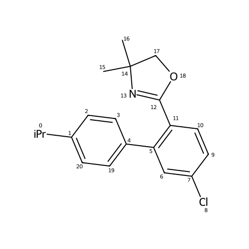 CC(C)c1ccc(-c2cc(Cl)ccc2C2=NC(C)(C)CO2)cc1